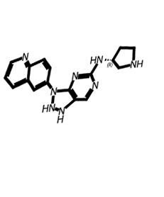 c1cnc2ccc(N3NNc4cnc(N[C@@H]5CCNC5)nc43)cc2c1